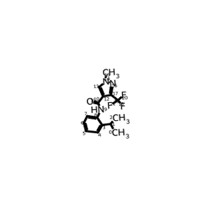 CC(C)c1ccccc1NC(=O)c1cn(C)nc1C(F)(F)F